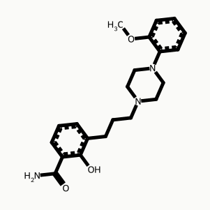 COc1ccccc1N1CCN(CCCc2cccc(C(N)=O)c2O)CC1